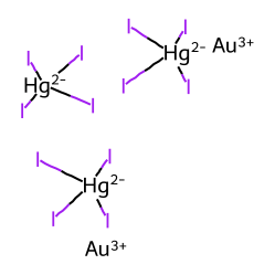 [Au+3].[Au+3].[I][Hg-2]([I])([I])[I].[I][Hg-2]([I])([I])[I].[I][Hg-2]([I])([I])[I]